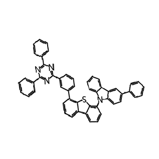 c1ccc(-c2ccc3c(c2)c2ccccc2n3-c2cccc3c2sc2c(-c4cccc(-c5nc(-c6ccccc6)nc(-c6ccccc6)n5)c4)cccc23)cc1